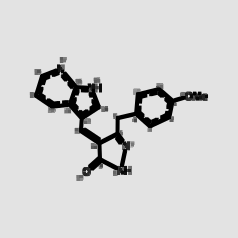 COc1ccc(CC2=NNC(=O)C2=Cc2c[nH]c3ncccc23)cc1